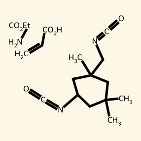 C=CC(=O)O.CC1(C)CC(N=C=O)CC(C)(CN=C=O)C1.CCOC(N)=O